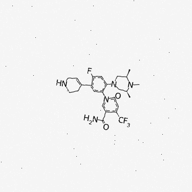 C[C@@H]1CN(c2cc(F)c(C3=CCNCC3)cc2-n2cc(C(N)=O)c(C(F)(F)F)cc2=O)C[C@H](C)N1C